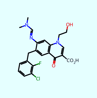 CN(C)C=Nc1cc2c(cc1Cc1cccc(Cl)c1F)c(=O)c(C(=O)O)cn2CCO